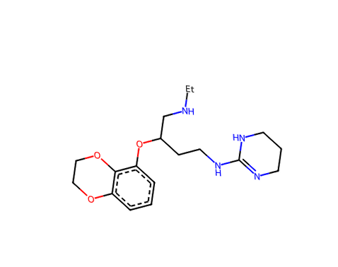 CCNCC(CCNC1=NCCCN1)Oc1cccc2c1OCCO2